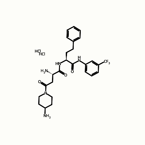 Cl.Cl.NC1CCN(C(=O)C[C@H](N)C(=O)N[C@@H](CCc2ccccc2)C(=O)Nc2cccc(C(F)(F)F)c2)CC1